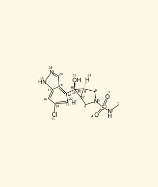 CNS(=O)(=O)N1C[C@@H]2[C@H](C1)[C@@]2(O)c1cc(Cl)cc2[nH]ncc12